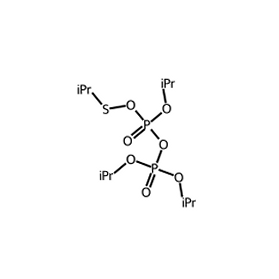 CC(C)OP(=O)(OSC(C)C)OP(=O)(OC(C)C)OC(C)C